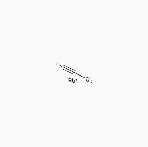 N#C[O-].[Rb+]